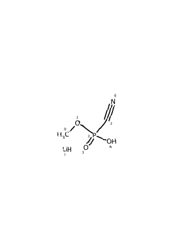 COP(=O)(O)C#N.[LiH]